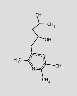 Cc1nc(C)c(CC(O)CC(C)C)nc1C